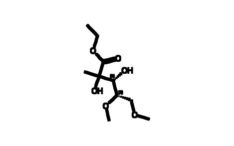 CCOC(=O)C(C)(O)[C@H](O)[C@H](COC)OC